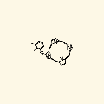 Cc1cccc(SC2=CC3=CC4=NC(=CC5=NC(=CC6=NC(=CC2=N3)C=C6)C=C5)C=C4)c1C